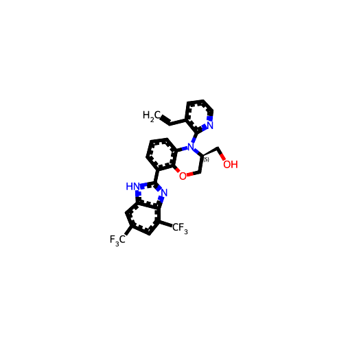 C=Cc1cccnc1N1c2cccc(-c3nc4c(C(F)(F)F)cc(C(F)(F)F)cc4[nH]3)c2OC[C@@H]1CO